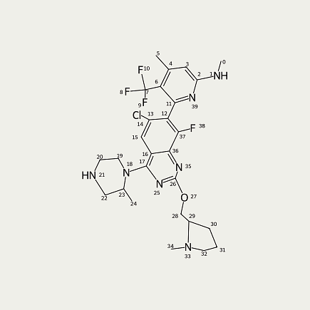 CNc1cc(C)c(C(F)(F)F)c(-c2c(Cl)cc3c(N4CCNCC4C)nc(OCC4CCCN4C)nc3c2F)n1